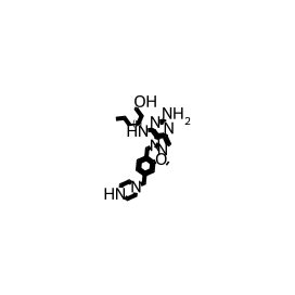 CCC[C@@H](CCO)Nc1nc(N)nc2cnn(Cc3ccc(CN4CCNCC4)cc3OC)c12